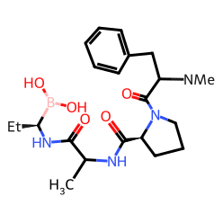 CC[C@H](NC(=O)C(C)NC(=O)[C@@H]1CCCN1C(=O)C(Cc1ccccc1)NC)B(O)O